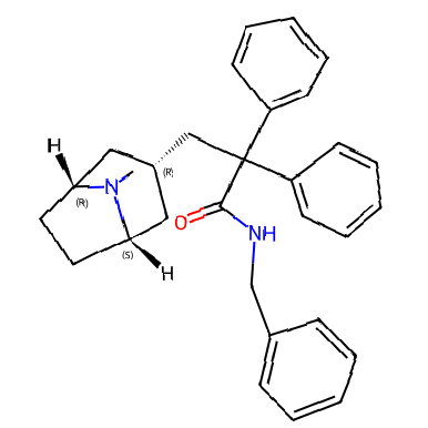 CN1[C@@H]2CC[C@H]1C[C@@H](CC(C(=O)NCc1ccccc1)(c1ccccc1)c1ccccc1)C2